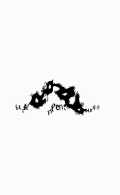 CCCCCC(c1ccc(Cc2ccc(C(CCCCC)c3ccc(N)cc3C)cc2)cc1)c1ccc(N)cc1C